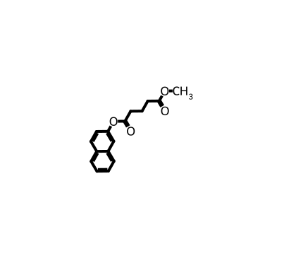 COC(=O)CCCC(=O)Oc1ccc2ccccc2c1